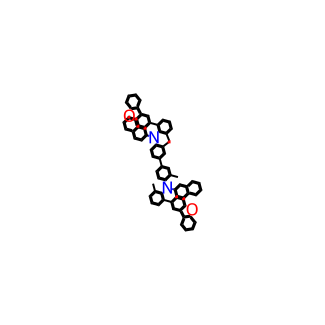 Cc1cc(-c2ccc(N(c3ccc4ccccc4c3)c3c(C)cccc3-c3ccc4oc5ccccc5c4c3)c(C)c2)ccc1N(c1ccc2ccccc2c1)c1c(C)cccc1-c1ccc2oc3ccccc3c2c1